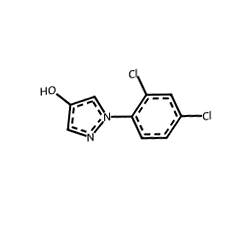 Oc1cnn(-c2ccc(Cl)cc2Cl)c1